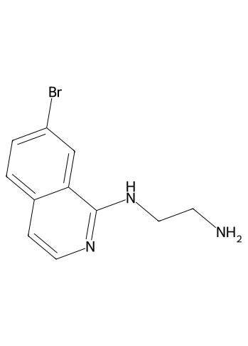 NCCNc1nccc2ccc(Br)cc12